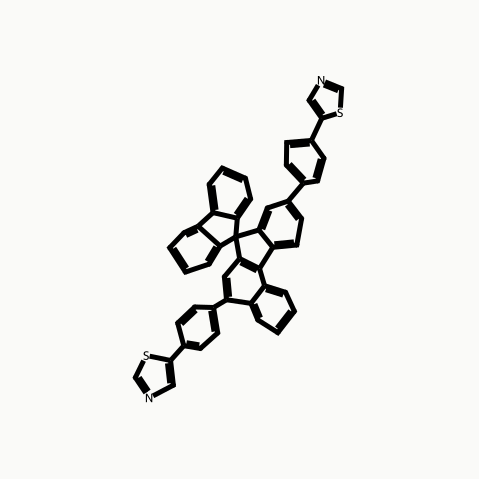 c1ccc2c(c1)-c1ccccc1C21c2cc(-c3ccc(-c4cncs4)cc3)ccc2-c2c1cc(-c1ccc(-c3cncs3)cc1)c1ccccc21